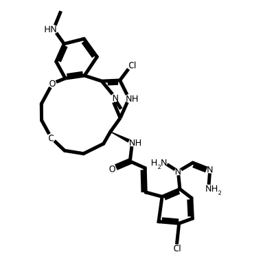 CNc1ccc2c(c1)OCCCCCC[C@H](NC(=O)/C=C/c1cc(Cl)ccc1N(N)/C=N\N)c1nc-2c(Cl)[nH]1